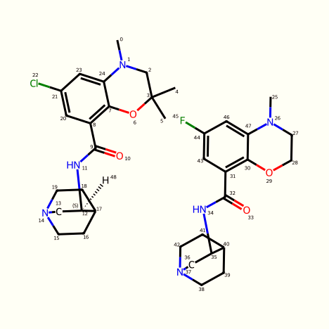 CN1CC(C)(C)Oc2c(C(=O)N[C@@H]3CN4CCC3CC4)cc(Cl)cc21.CN1CCOc2c(C(=O)NC3CN4CCC3CC4)cc(F)cc21